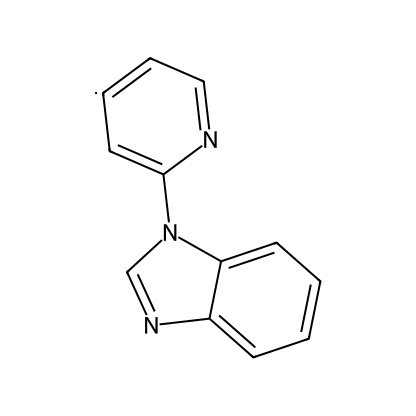 [c]1ccnc(-n2cnc3ccccc32)c1